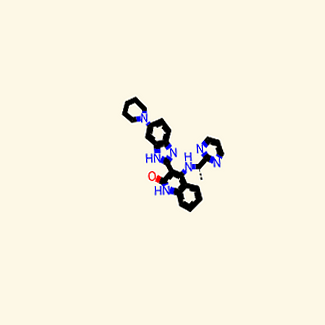 C[C@H](Nc1c(-c2nc3ccc(N4CCCCC4)cc3[nH]2)c(=O)[nH]c2ccccc12)c1ncccn1